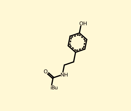 CCC(C)C(=O)NCCc1ccc(O)cc1